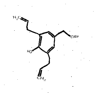 C=CCc1cc(COC)cc(CC=C)c1O